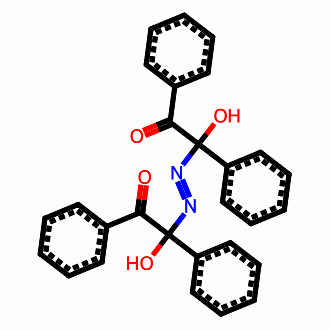 O=C(c1ccccc1)C(O)(N=NC(O)(C(=O)c1ccccc1)c1ccccc1)c1ccccc1